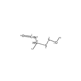 COSS[SiH](C)N=C=O